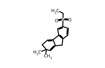 CCS(=O)(=O)c1ccc2c(c1)C1=CCC(C)(C)C=C1C2